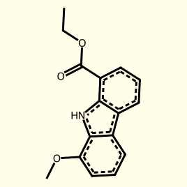 CCOC(=O)c1cccc2c1[nH]c1c(OC)cccc12